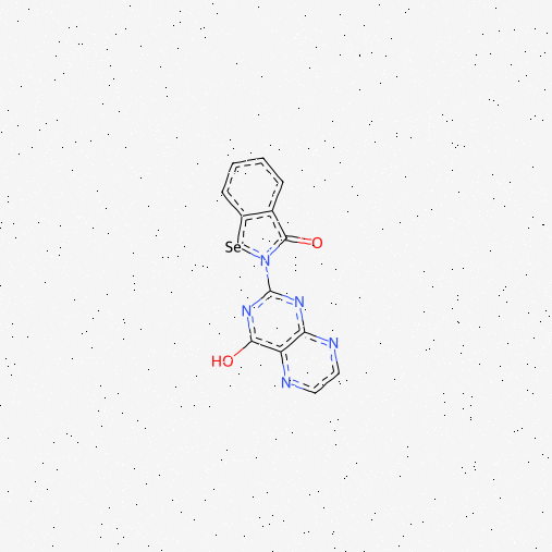 O=c1c2ccccc2[se]n1-c1nc(O)c2nccnc2n1